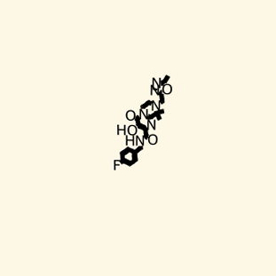 Cc1nnc(CN2CCn3c(nc(C(=O)NCc4ccc(F)cc4)c(O)c3=O)C2(C)C)o1